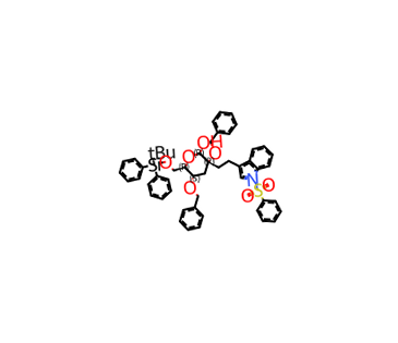 CC(C)(C)[Si](OC[C@H]1O[C@@H](O)[C@](CCc2cn(S(=O)(=O)c3ccccc3)c3ccccc23)(OCc2ccccc2)C[C@@H]1OCc1ccccc1)(c1ccccc1)c1ccccc1